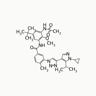 COc1c(NC(=O)c2ccc(C)c(-n3cc(-c4cnn(C5CC5)c4C(C)C)nn3)c2)cc(C(C)(C)C)cc1NS(C)(=O)=O